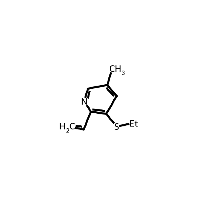 C=Cc1ncc(C)cc1SCC